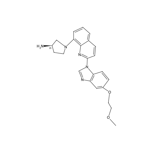 COCCOc1ccc2c(c1)ncn2-c1ccc2cccc(N3CC[C@@H](N)C3)c2n1